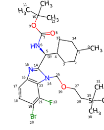 CC1CCC([C@H](NC(=O)OC(C)(C)C)c2nc3ccc(Br)c(F)c3n2COCC[Si](C)(C)C)CC1